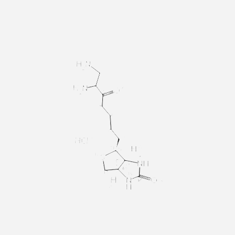 Cl.NCC(N)C(=O)CCCC[C@@H]1SC[C@@H]2NC(=O)N[C@@H]21